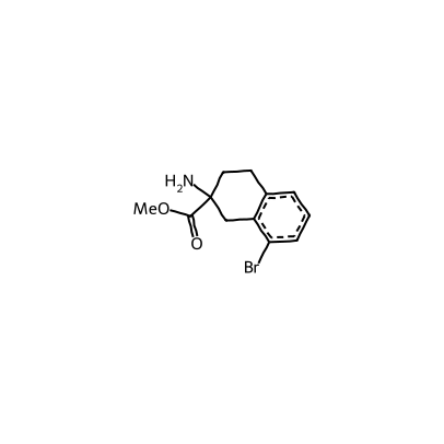 COC(=O)C1(N)CCc2cccc(Br)c2C1